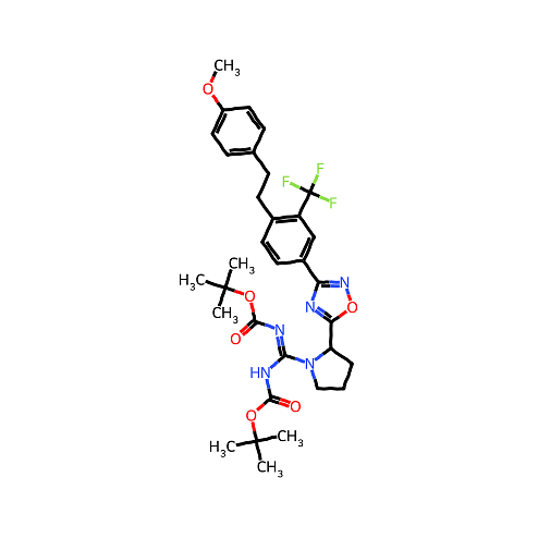 COc1ccc(CCc2ccc(-c3noc(C4CCCN4C(=NC(=O)OC(C)(C)C)NC(=O)OC(C)(C)C)n3)cc2C(F)(F)F)cc1